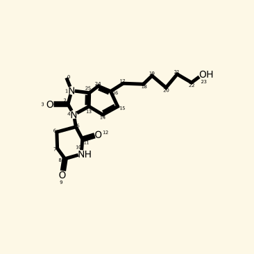 Cn1c(=O)n(C2CCC(=O)NC2=O)c2ccc(CCCCCCO)cc21